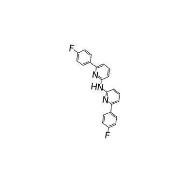 Fc1ccc(-c2cccc(Nc3cccc(-c4ccc(F)cc4)n3)n2)cc1